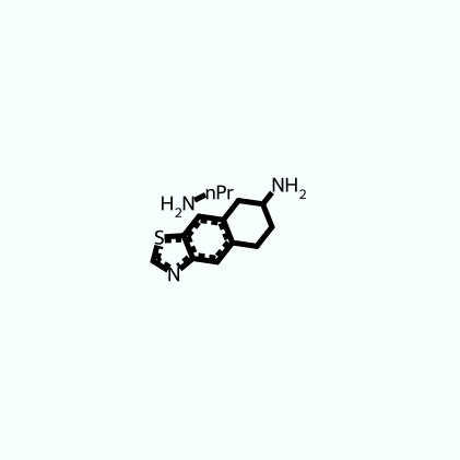 CCCN.NC1CCc2cc3ncsc3cc2C1